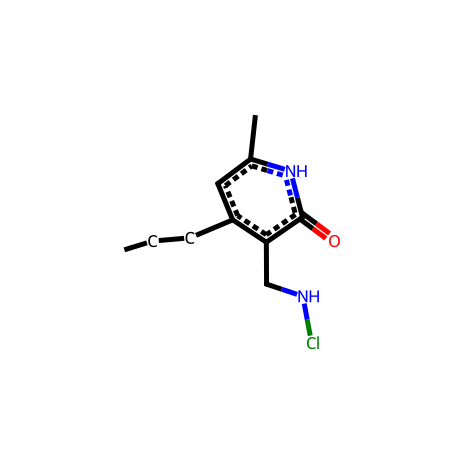 CCCc1cc(C)[nH]c(=O)c1CNCl